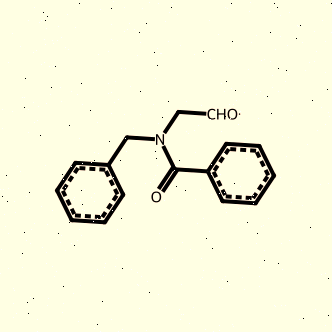 O=[C]CN(Cc1ccccc1)C(=O)c1ccccc1